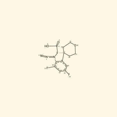 [N-]=[N+]=N[C@H](C(=O)O)C1(c2cc(F)cc(F)c2)CCOCC1